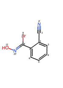 N#Cc1ccccc1C(Br)=NO